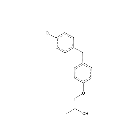 COc1ccc(Cc2ccc(OCC(C)O)cc2)cc1